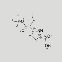 CCC(C(=O)OC(C)(C)C)[C@H]1CC[C@@H](C(=O)O)N1